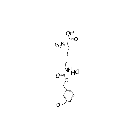 Cl.N[C@@H](CCCCNC(=O)OCc1cccc(C=O)c1)C(=O)O